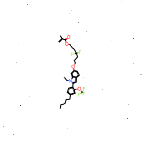 C=C(C)C(=O)OCCCC(F)(F)CCCOc1ccc2cc(-c3ccc(CCCCC)cc3OC(F)(F)F)n(CC)c2c1